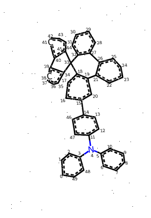 c1ccc(N(c2ccccc2)c2ccc(-c3ccc4c(c3)-c3ccccc3-c3ccccc3C43c4ccccc4-c4ccccc43)cc2)cc1